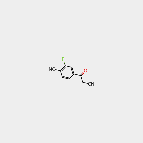 N#CCC(=O)c1ccc(C#N)c(F)c1